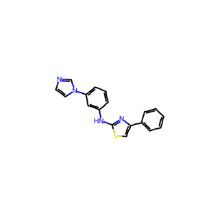 c1ccc(-c2csc(Nc3cccc(-n4ccnc4)c3)n2)cc1